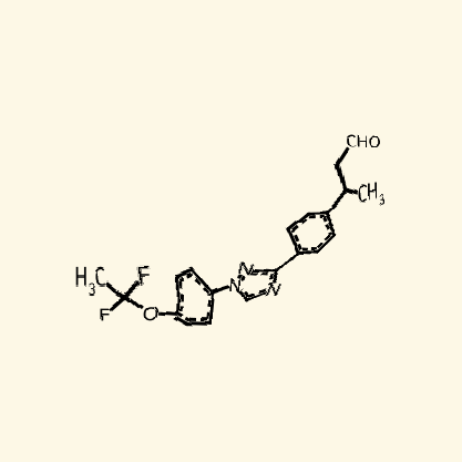 CC(CC=O)c1ccc(-c2ncn(-c3ccc(OC(C)(F)F)cc3)n2)cc1